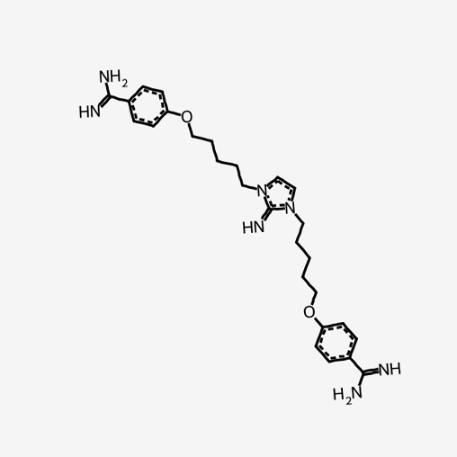 N=C(N)c1ccc(OCCCCCn2ccn(CCCCCOc3ccc(C(=N)N)cc3)c2=N)cc1